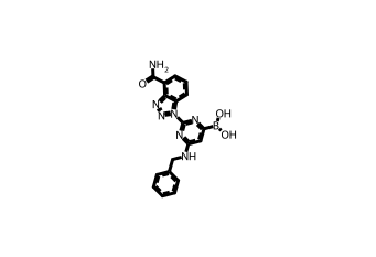 NC(=O)c1cccc2c1nnn2-c1nc(NCc2ccccc2)cc(B(O)O)n1